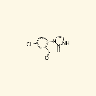 O=Cc1cc(Cl)ccc1N1C=CNN1